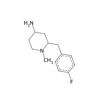 CN1CCC(N)CC1Cc1ccc(F)cc1